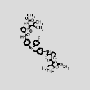 CCC(CC)[C@H](NC(=O)OC)C(=O)N1CCCC1C(=O)Nc1ccc(CN(Cc2ccc(NC(=O)[C@@H]3CCCN3C(=O)[C@@H](NC(=O)OC)C(CC)CC)cc2)c2ccc(F)cc2)cc1